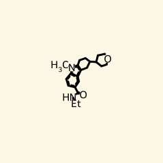 CCNC(=O)c1ccc2c(c1)c1c(n2C)CCC(C2CCOCC2)C1